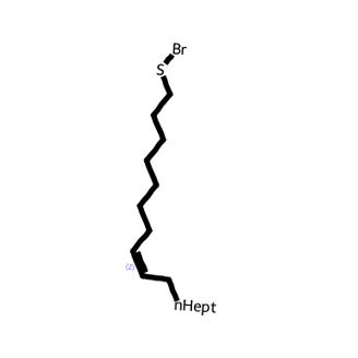 CCCCCCCC/C=C\CCCCCCCSBr